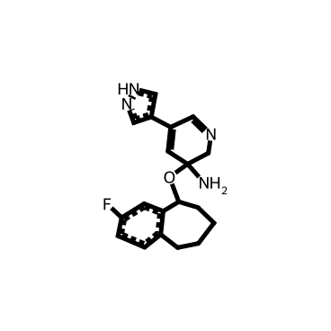 NC1(OC2CCCCc3ccc(F)cc32)C=C(c2cn[nH]c2)C=NC1